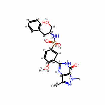 CCCc1nn(C)c2c(=O)[nH]c(-c3cc(S(=O)(=O)NC(CO)Cc4ccccc4)ccc3OCC)nc12